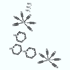 N#[C][Fe-3]([C]#N)([C]#N)([C]#N)([C]#N)[C]#N.N#[C][Fe-3]([C]#N)([C]#N)([C]#N)([C]#N)[C]#N.[NH4+].[NH4+].[NH4+].c1cc[nH+]cc1.c1cc[nH+]cc1.c1cc[nH+]cc1